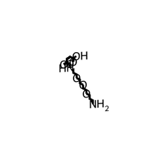 NCCCOCCOCCOCCCNOC(=O)/C=C\C(=O)O